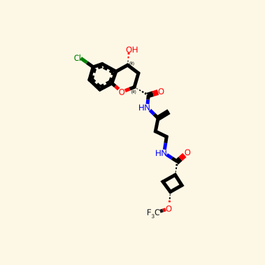 C=C(CCNC(=O)[C@H]1C[C@@H](OC(F)(F)F)C1)NC(=O)[C@H]1C[C@@H](O)c2cc(Cl)ccc2O1